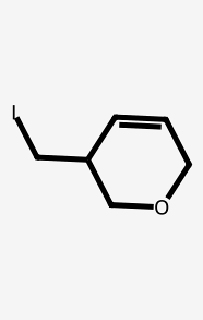 ICC1C=CCOC1